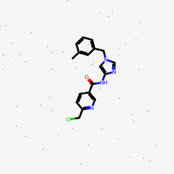 Cc1cccc(Cn2cnc(NC(=O)c3ccc(CCl)nc3)c2)c1